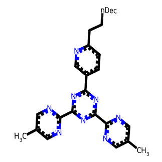 CCCCCCCCCCCCc1ccc(-c2nc(-c3ncc(C)cn3)nc(-c3ncc(C)cn3)n2)cn1